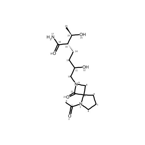 CC(=O)N1CCCC12CN(CC(O)CC[C@H](C(N)=O)[C@@H](C)O)C2=O